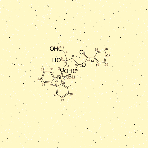 CC(C)(C)[Si](OCC(O)(CC=O)CC(C=O)OC(=O)c1ccccc1)(c1ccccc1)c1ccccc1